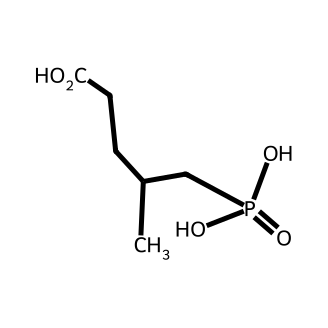 CC(CCC(=O)O)CP(=O)(O)O